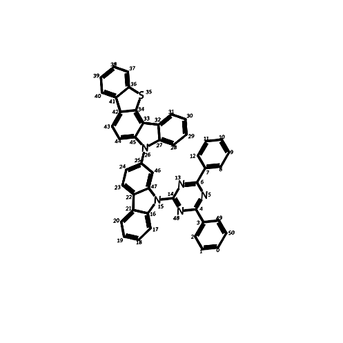 c1ccc(-c2nc(-c3ccccc3)nc(-n3c4ccccc4c4ccc(-n5c6ccccc6c6c7sc8ccccc8c7ccc65)cc43)n2)cc1